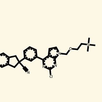 C[Si](C)(C)CCOCn1ccc2c(-c3cccc(C4(C#N)Cc5ccccc5C4)c3)nc(Cl)nc21